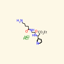 CCOC(=O)CC(NC(=O)CNC(=O)CCCCN)c1cccnc1.Cl.Cl